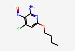 CCCCOc1cc(Cl)c(N=O)c(N)n1